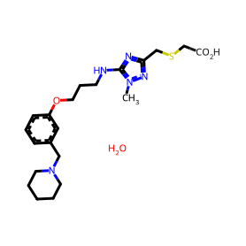 Cn1nc(CSCC(=O)O)nc1NCCCOc1cccc(CN2CCCCC2)c1.O